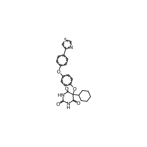 O=C1NC(=O)C(Oc2ccc(Oc3ccc(-c4cscn4)cc3)cc2)(C2CCCCC2)C(=O)N1